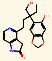 CCC(CO)(CCc1nccc2c1CC(=O)N2)c1cc2c(cc1O)OCO2